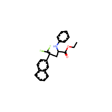 CCOC(=O)C(CC(=C(F)F)c1ccc2ccccc2c1)Nc1ccccc1